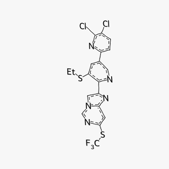 CCSc1cc(-c2ccc(Cl)c(Cl)n2)cnc1-c1cn2cnc(SC(F)(F)F)cc2n1